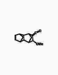 COC1C(=C=O)C2CC1C1C3C=CC(C3)C21